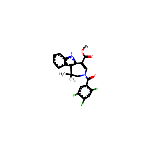 CC(C)OC(=O)C1=CN(C(=O)c2cc(F)c(F)cc2F)CC(C)(C)c2c1[nH]c1ccccc21